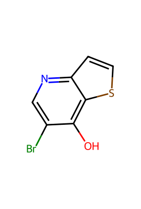 Oc1c(Br)cnc2ccsc12